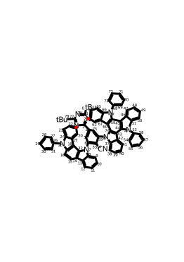 CC(C)(C)c1nc(-c2cc(-n3c4ccccc4c4ccc5c(c6ccccc6n5-c5ccccc5)c43)c(C#N)c(-n3c4ccccc4c4c5c(c6ccccc6n5-c5ccccc5)c5c(c6ccccc6n5-c5ccccc5)c43)c2)nc(C(C)(C)C)n1